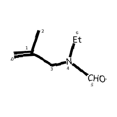 C=C(C)CN([C]=O)CC